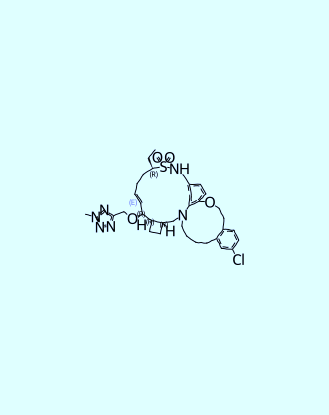 CC[C@@H]1CC/C=C/[C@H](OCc2nnn(C)n2)[C@@H]2CC[C@H]2CN2CCCCc3cc(Cl)ccc3CCOc3ccc(cc32)CNS1(=O)=O